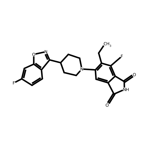 CCc1c(N2CCC(c3noc4cc(F)ccc34)CC2)cc2c(c1F)C(=O)NC2=O